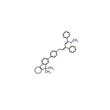 C=N/C(=C\C(=C/Cc1ccc(-c2ccc3c(c2)C(C)(C)C2=C3CCCC2)cc1)c1ccccc1)c1ccccc1